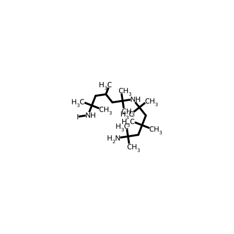 CC(CC(C)(C)NI)CC(C)(C)NC(C)(C)CC(C)(C)CC(C)(C)N